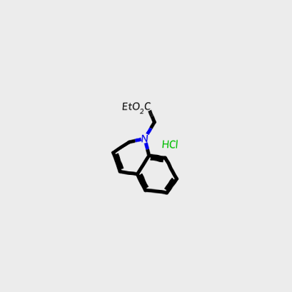 CCOC(=O)CN1CC=Cc2ccccc21.Cl